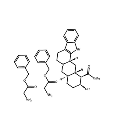 COC(=O)[C@@H]1[C@H]2C[C@H]3c4[nH]c5ccccc5c4CCN3C[C@@H]2CC[C@@H]1O.NCC(=O)OCc1ccccc1.NCC(=O)OCc1ccccc1